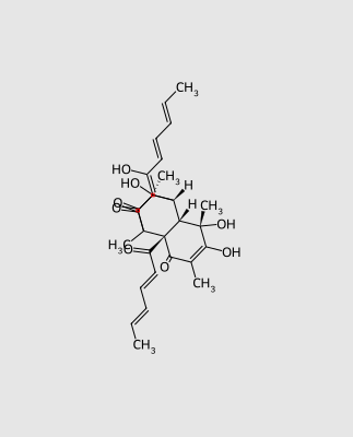 C/C=C/C=C/C(=O)[C@]12C(=O)C(C)=C(O)[C@@](C)(O)[C@H]1[C@H]1\C(=C(O)/C=C/C=C/C)C(=O)C2(C)C(=O)[C@@]1(C)O